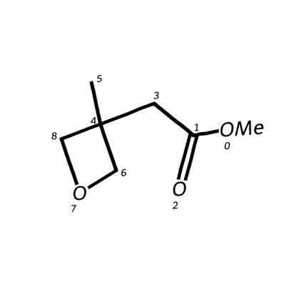 [CH2]OC(=O)CC1(C)COC1